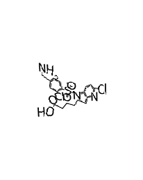 NCc1ccc(S(=O)(=O)n2c(CCCC(=O)O)cc3nc(Cl)ccc32)c(Cl)c1